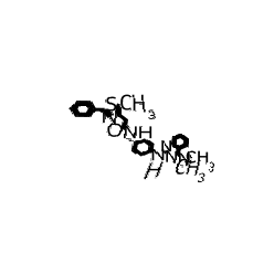 Cc1sc(-c2ccccc2)nc1CC(=O)NC[C@H]1CC[C@@H](Nc2nc(N(C)C)c3ccccc3n2)CC1